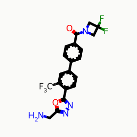 NCc1nnc(-c2ccc(-c3ccc(C(=O)N4CC(F)(F)C4)cc3)cc2C(F)(F)F)o1